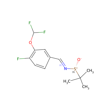 CC(C)(C)[S@@+]([O-])/N=C/c1ccc(F)c(OC(F)F)c1